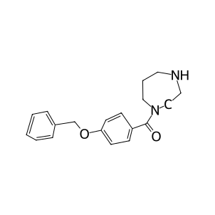 O=C(c1ccc(OCc2ccccc2)cc1)N1CCCNCC1